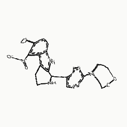 O=[N+]([O-])c1c(Cl)ccc2[nH]c3c(c12)CCNC3c1cnc(N2CCOCC2)nc1